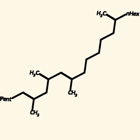 CCCCCCC(C)CCCCCC(C)CC(C)CC(C)CC(C)CCC